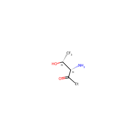 CCC(=O)[C@@H](N)[C@H](O)C(F)(F)F